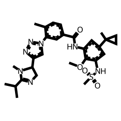 COc1c(NC(=O)c2ccc(C)c(-n3cc(C4CN=C(C(C)C)N4C)nn3)c2)cc(C2(C)CC2)cc1NS(C)(=O)=O